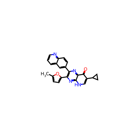 Cc1ccc(-c2nc3[nH]cc(C4CC4)c(=O)c3nc2-c2ccc3ncccc3c2)o1